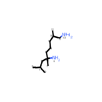 CC(C)CC(C)(N)CCCC(C)CN